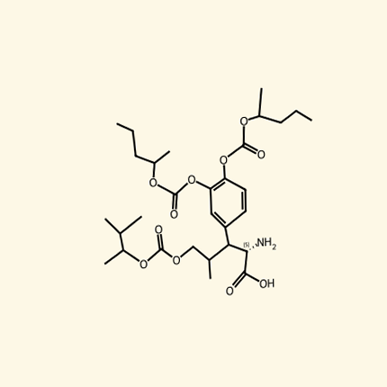 CCCC(C)OC(=O)Oc1ccc(C(C(C)COC(=O)OC(C)C(C)C)[C@H](N)C(=O)O)cc1OC(=O)OC(C)CCC